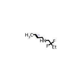 C/C=C/CNCC(F)(F)CC